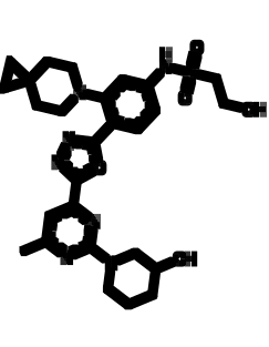 Cc1cc(-c2nnc(-c3ccc(NS(=O)(=O)CCO)cc3N3CCC4(CC3)CC4)o2)nc(N2CCCC(O)C2)n1